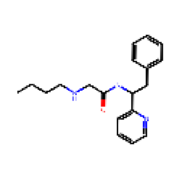 CCCCNCC(=O)NC(Cc1ccccc1)c1ccccn1